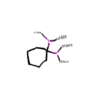 CCCCCCP(CCCCCC)C1(P(CCCCCC)CCCCCC)CCCCC1